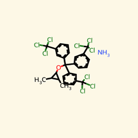 CC1C(C)C1OC(c1cccc(C(Cl)(Cl)Cl)c1)(c1cccc(C(Cl)(Cl)Cl)c1)c1cccc(C(Cl)(Cl)Cl)c1.N